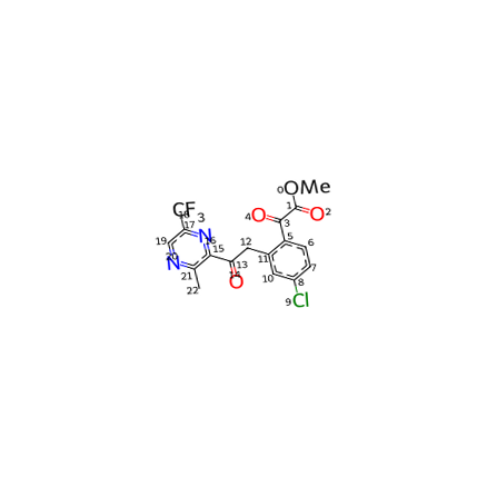 COC(=O)C(=O)c1ccc(Cl)cc1CC(=O)c1nc(C(F)(F)F)cnc1C